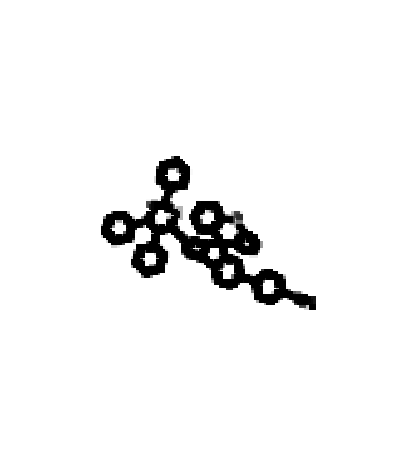 N#Cc1ccc(-c2ccc3c(c2)C2(c4ccccc4Oc4ccccc42)c2cc(-c4nc(-c5ccccc5)nc(-c5ccccc5)c4-c4ccccc4)ccc2-3)cc1